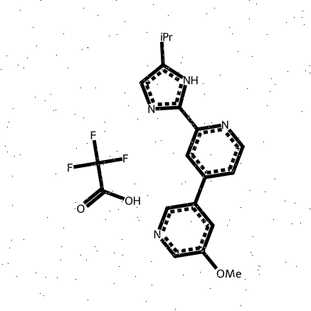 COc1cncc(-c2ccnc(-c3ncc(C(C)C)[nH]3)c2)c1.O=C(O)C(F)(F)F